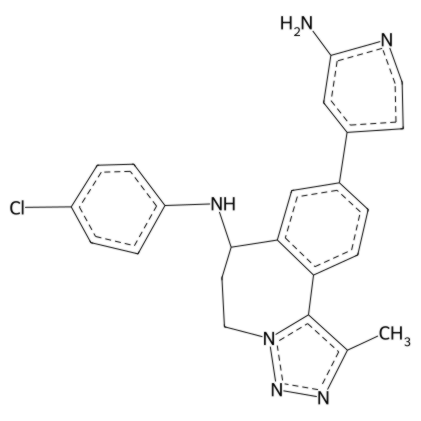 Cc1nnn2c1-c1ccc(-c3ccnc(N)c3)cc1C(Nc1ccc(Cl)cc1)CC2